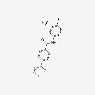 COC(=O)c1ccc(C(=O)Nc2cnc(Br)c(C)n2)cc1